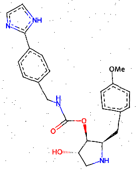 COc1ccc(C[C@H]2NC[C@H](O)[C@H]2OC(=O)NCc2ccc(-c3ncc[nH]3)cc2)cc1